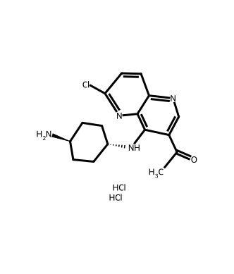 CC(=O)c1cnc2ccc(Cl)nc2c1N[C@H]1CC[C@H](N)CC1.Cl.Cl